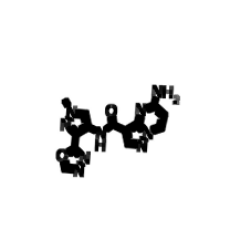 Cn1cc(NC(=O)c2cnn3ccc(N)nc23)c(-c2nnco2)n1